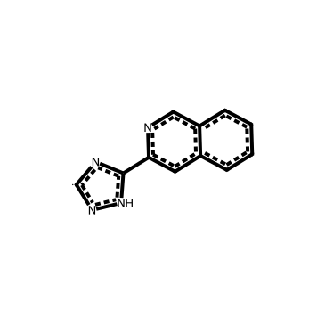 [c]1n[nH]c(-c2cc3ccccc3cn2)n1